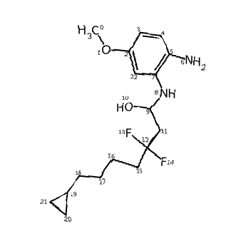 COc1ccc(N)c(NC(O)CC(F)(F)CCCCC2CC2)c1